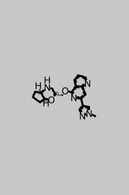 Cn1cc(-c2cc3ncccc3c(OC[C@H]3CN[C@@H]4CCC[C@@H]4O3)n2)cn1